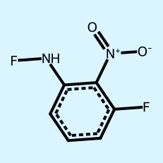 O=[N+]([O-])c1c(F)cccc1NF